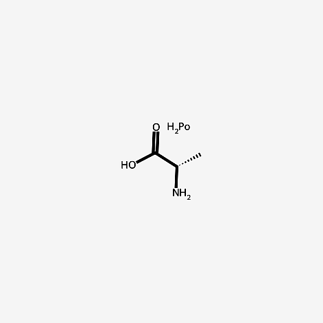 C[C@H](N)C(=O)O.[PoH2]